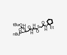 CCCCOC[C@@H](CC(=O)NNC(=O)SCC(=O)Nc1ccccc1CC)NC(=O)OC(C)(C)C